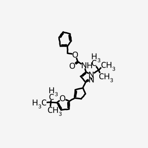 CC(C)(C)c1ccc(C2=CC(c3cc(NC(=O)OCc4ccccc4)n(C(C)(C)C)n3)CC2)o1